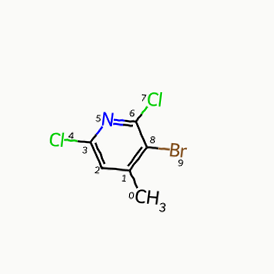 Cc1cc(Cl)nc(Cl)c1Br